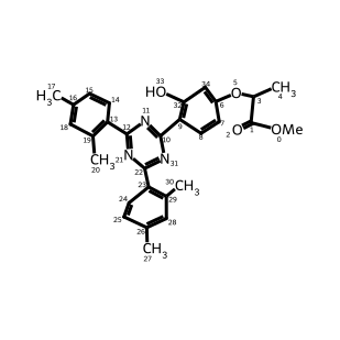 COC(=O)C(C)Oc1ccc(-c2nc(-c3ccc(C)cc3C)nc(-c3ccc(C)cc3C)n2)c(O)c1